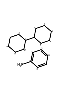 C1CCC(C2CCCCC2)CC1.Pc1ccccc1